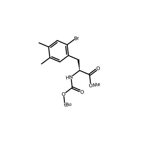 COC(=O)[C@H](Cc1cc(C)c(C)cc1Br)NC(=O)OC(C)(C)C